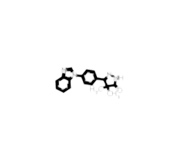 CC1(C)C(=O)NN=C1c1ccc(-n2cnc3ccccc32)cc1